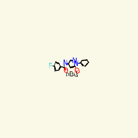 CCCCOc1c/c(=N\C(=O)c2ccc(F)cc2)cnn1-c1ccccc1